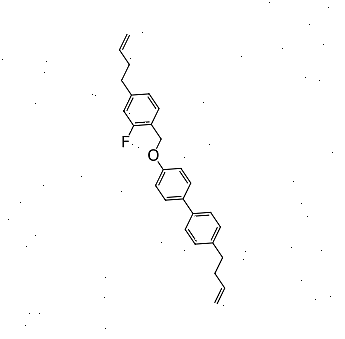 C=CCCc1ccc(-c2ccc(OCc3ccc(CCC=C)cc3F)cc2)cc1